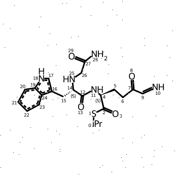 CC(C)SC(=O)[C@H](CCC(=O)C=N)NC(=O)[C@H](Cc1c[nH]c2ccccc12)NCC(N)=O